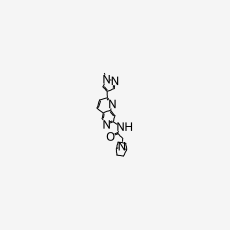 Cn1cc(-c2ccc3cnc(NC(=O)CN4C5CCC4CC5)cc3n2)cn1